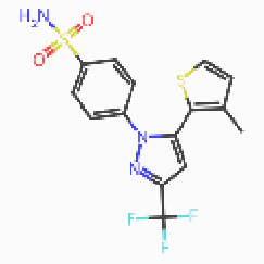 Cc1ccsc1-c1cc(C(F)(F)F)nn1-c1ccc(S(N)(=O)=O)cc1